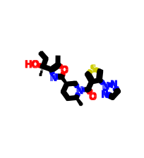 CC[C@](C)(O)c1nc([C@@H]2CC[C@H](C)N(C(=O)c3cscc3-n3nccn3)C2)oc1C